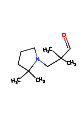 CC(C)(C=O)CN1CCCC1(C)C